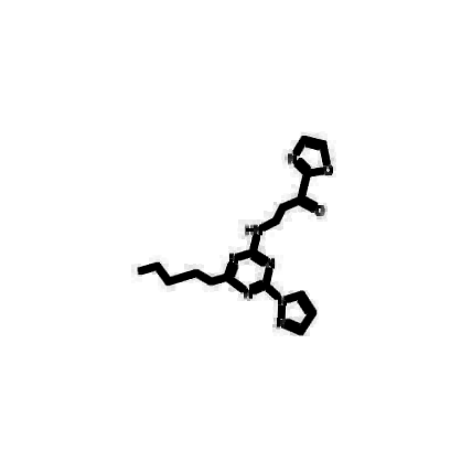 CCCCCc1nc(NCCC(=O)c2ncco2)nc(-n2cccn2)n1